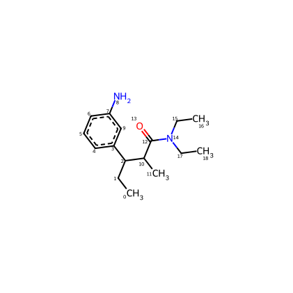 CCC(c1cccc(N)c1)C(C)C(=O)N(CC)CC